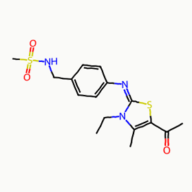 CCn1c(C)c(C(C)=O)sc1=Nc1ccc(CNS(C)(=O)=O)cc1